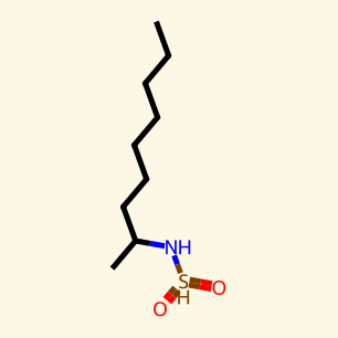 CCCCCCCC(C)N[SH](=O)=O